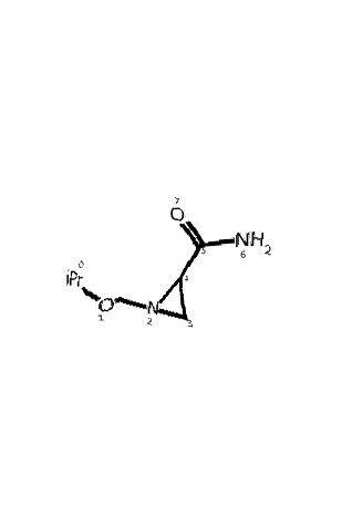 CC(C)ON1CC1C(N)=O